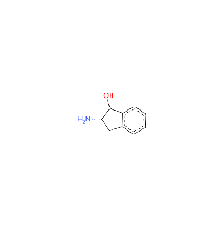 N[C@H]1Cc2ccccc2C1O